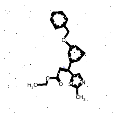 CCOC(=O)/C=C(/c1cccc(OCc2ccccc2)c1)c1cnc(C)s1